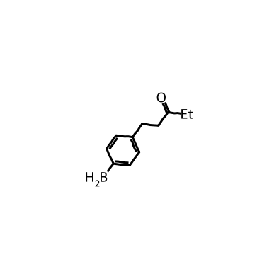 Bc1ccc(CCC(=O)CC)cc1